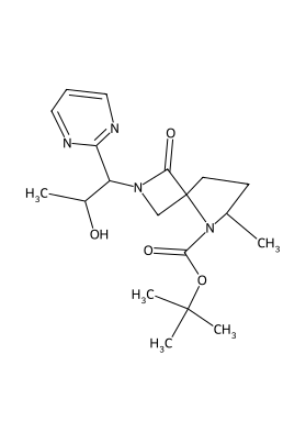 CC(O)C(c1ncccn1)N1CC2(CCC(C)N2C(=O)OC(C)(C)C)C1=O